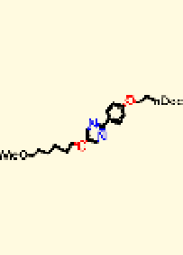 CCCCCCCCCCCCOc1ccc(-c2ncc(OCCCCCCOC)cn2)cc1